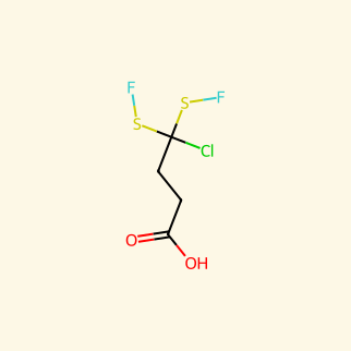 O=C(O)CCC(Cl)(SF)SF